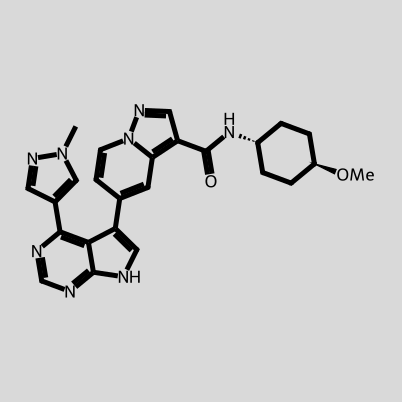 CO[C@H]1CC[C@H](NC(=O)c2cnn3ccc(-c4c[nH]c5ncnc(-c6cnn(C)c6)c45)cc23)CC1